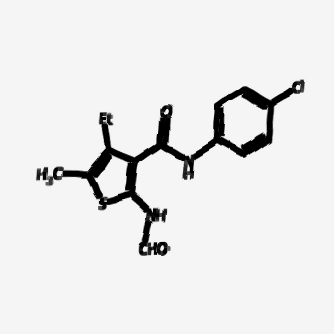 CCc1c(C)sc(N[C]=O)c1C(=O)Nc1ccc(Cl)cc1